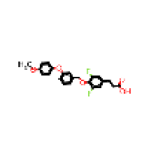 COc1ccc(Oc2cccc(COc3c(F)cc(CCC(=O)O)cc3F)c2)cc1